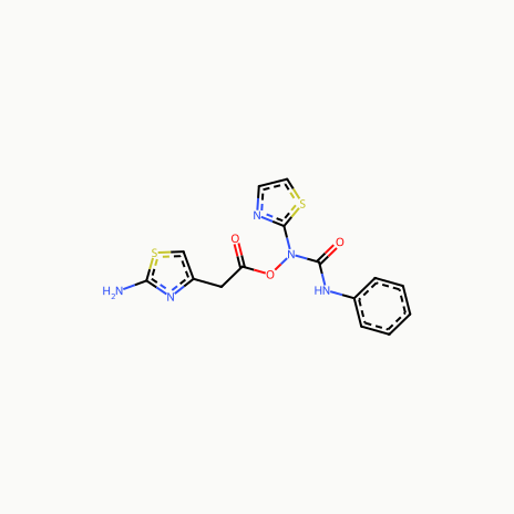 Nc1nc(CC(=O)ON(C(=O)Nc2ccccc2)c2nccs2)cs1